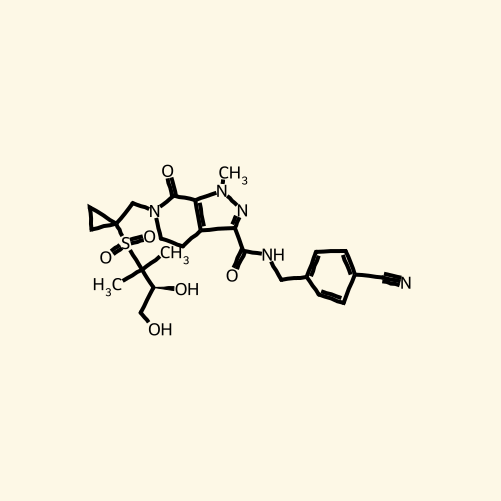 Cn1nc(C(=O)NCc2ccc(C#N)cc2)c2c1C(=O)N(CC1(S(=O)(=O)C(C)(C)[C@@H](O)CO)CC1)CC2